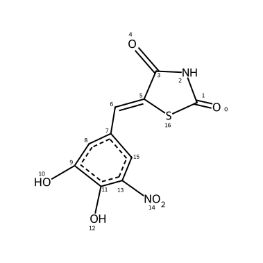 O=C1NC(=O)C(=Cc2cc(O)c(O)c([N+](=O)[O-])c2)S1